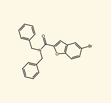 O=C(c1cc2cc(Br)ccc2o1)N(Cc1ccccc1)Cc1ccccc1